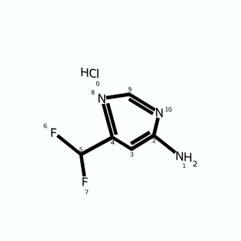 Cl.Nc1cc(C(F)F)ncn1